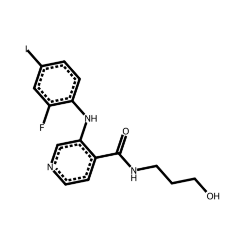 O=C(NCCCO)c1ccncc1Nc1ccc(I)cc1F